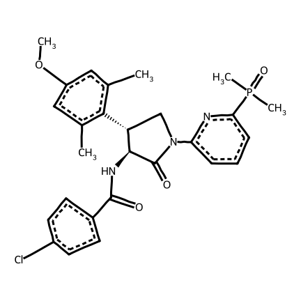 COc1cc(C)c([C@@H]2CN(c3cccc(P(C)(C)=O)n3)C(=O)[C@H]2NC(=O)c2ccc(Cl)cc2)c(C)c1